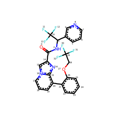 O=C(NC(c1cccnc1)C(F)(F)F)c1cn2cccc(-c3ccccc3OCC(F)(F)F)c2n1